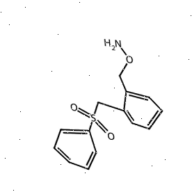 NOCc1ccccc1CS(=O)(=O)c1ccccc1